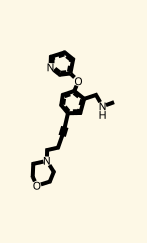 CNCc1cc(C#CCCN2CCOCC2)ccc1Oc1cccnc1